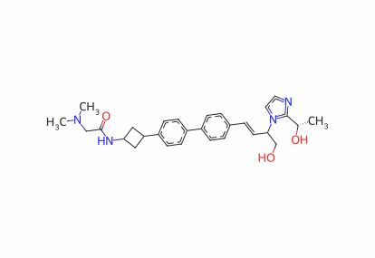 C[C@H](O)c1nccn1C(/C=C/c1ccc(-c2ccc(C3CC(NC(=O)CN(C)C)C3)cc2)cc1)CO